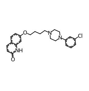 O=c1ccc2ccc(OCCCCN3CCN(c4cccc(Cl)c4)CC3)cc2[nH]1